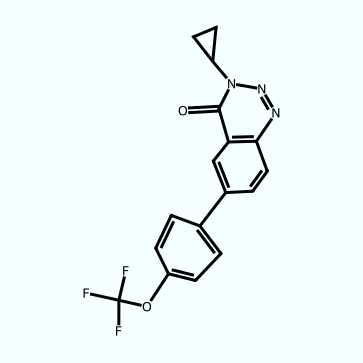 O=c1c2cc(-c3ccc(OC(F)(F)F)cc3)ccc2nnn1C1CC1